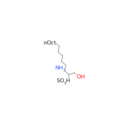 CCCCCCCCCCCCCCC(CO)S(=O)(=O)O.N